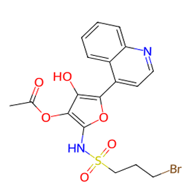 CC(=O)Oc1c(NS(=O)(=O)CCCBr)oc(-c2ccnc3ccccc23)c1O